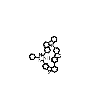 c1ccc(C2=NC(c3ccc4sc5cccc(-c6ccc7c(c6)sc6ccc(-n8c9ccccc9c9ccccc98)cc67)c5c4c3)NC(c3ccccc3)=N2)cc1